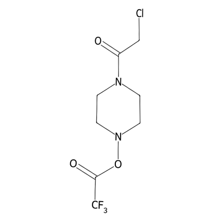 O=C(CCl)N1CCN(OC(=O)C(F)(F)F)CC1